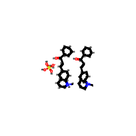 C[n+]1cccc2cc(/C=C/C(=O)c3ccccc3)ccc21.C[n+]1cccc2cc(/C=C/C(=O)c3ccccc3)ccc21.O=S(=O)([O-])[O-]